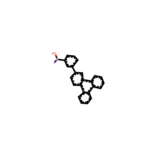 OB(I)c1cccc(-c2ccc3c4ccccc4c4ccccc4c3c2)c1